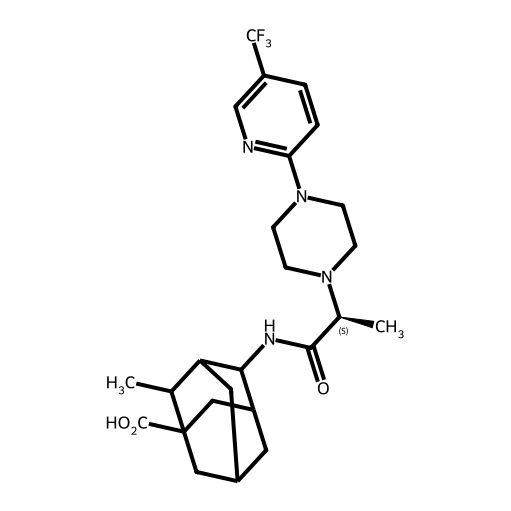 CC1C2CC3CC(CC1(C(=O)O)C3)C2NC(=O)[C@H](C)N1CCN(c2ccc(C(F)(F)F)cn2)CC1